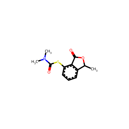 CC1OC(=O)c2c(SC(=O)N(C)C)cccc21